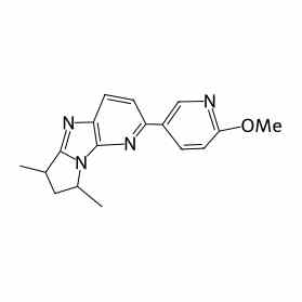 COc1ccc(-c2ccc3nc4n(c3n2)C(C)CC4C)cn1